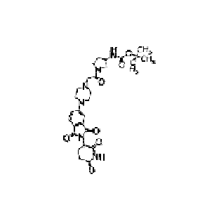 CC(C)(C)OC(=O)N[C@H]1CCN(C(=O)CN2CCN(c3ccc4c(c3)C(=O)N(C3CCC(=O)NC3=O)C4=O)CC2)C1